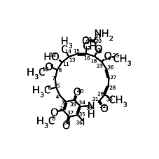 COC1=C2CC(C)CC(OC)C(O)C(C)C=C(C)C(OC(N)=O)C(OC)C=CC=C(C)C(=O)NC(=C(I)C1=O)C2=O